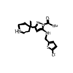 CC(C)(C)C(=O)n1nc(C2(C)CCNCC2)cc1NCc1ccc(Cl)s1